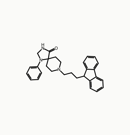 O=C1NCN(c2ccccc2)C12CCN(CCCC1c3ccccc3-c3ccccc31)CC2